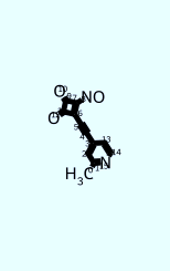 Cc1cc(C#Cc2c(N=O)c(=O)c2=O)ccn1